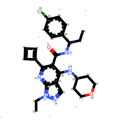 CCC(NC(=O)c1c(C2=CC=C2)nc2c(cnn2CC)c1NC1CCOCC1)c1ccc(Cl)cc1